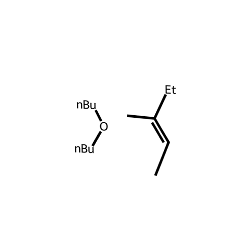 CC=C(C)CC.CCCCOCCCC